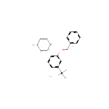 CCCCCCCC(C)(C)c1ccc([C@H]2CCC[C@H](O)C2)c(OCc2ccccc2)c1